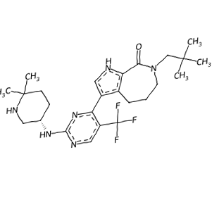 CC(C)(C)CN1CCCc2c(-c3nc(N[C@H]4CCC(C)(C)NC4)ncc3C(F)(F)F)c[nH]c2C1=O